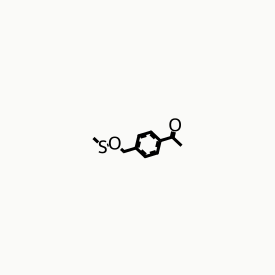 CSOCc1ccc(C(C)=O)cc1